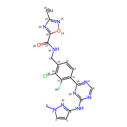 Cn1ccc(Nc2ncnc(-c3ccc(CNC(=O)c4nc(C(C)(C)C)no4)c(Cl)c3F)n2)n1